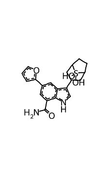 NC(=O)c1cc(-c2ccco2)cc2c(C3CC4CCC(C3)S4(O)O)c[nH]c12